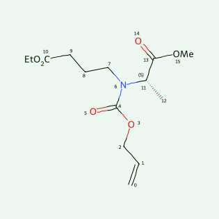 C=CCOC(=O)N(CCCC(=O)OCC)[C@@H](C)C(=O)OC